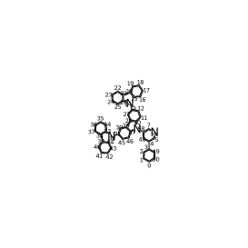 c1ccc(-c2cncc(-n3c4ccc(-n5c6ccccc6c6ccccc65)cc4c4cc(-n5c6ccccc6c6ccccc65)ccc43)c2)cc1